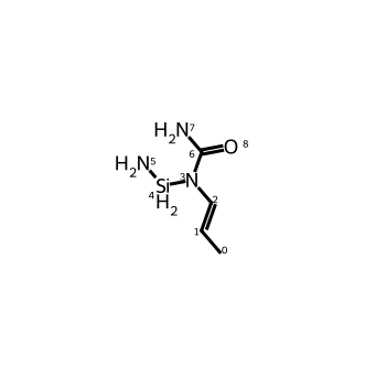 CC=CN([SiH2]N)C(N)=O